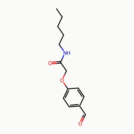 CCCCCNC(=O)COc1ccc(C=O)cc1